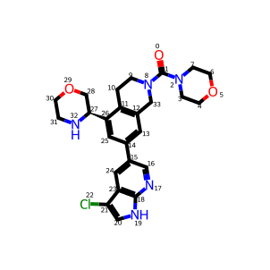 O=C(N1CCOCC1)N1CCc2c(cc(-c3cnc4[nH]cc(Cl)c4c3)cc2[C@@H]2COCCN2)C1